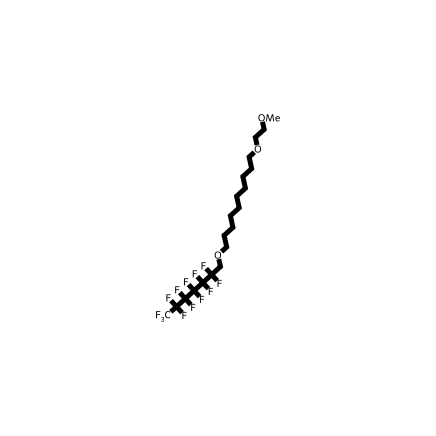 COCCOCCCCCCCCCCOCC(F)(F)C(F)(F)C(F)(F)C(F)(F)C(F)(F)C(F)(F)F